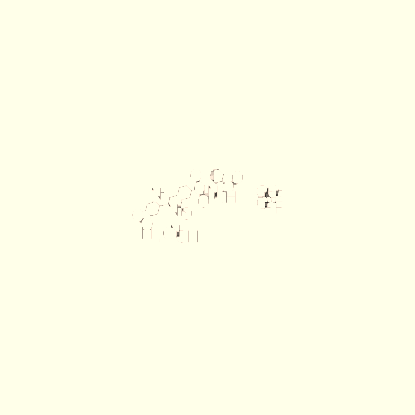 CN(C)CCn1c(=O)c2cc(OC(=O)N(C)c3ccccc3OC(=O)CCCOS(=O)(=O)C(F)(F)F)c(CO)cc2c2cnc3cc4c(cc3c21)OCO4